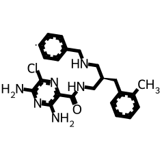 Cc1ccccc1C[C@H](CNCc1cc[c]cc1)CNC(=O)c1nc(Cl)c(N)nc1N